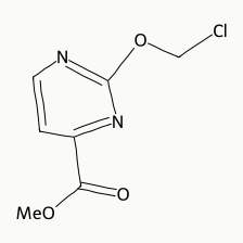 COC(=O)c1ccnc(OCCl)n1